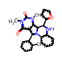 Cc1ccccc1-c1c2c(=O)n(C)c(=O)n(C)c2c2n1-c1ccccc1NC2c1ccco1